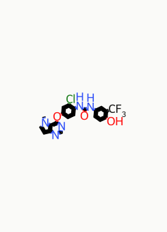 Cn1ccc2ncnc(Oc3ccc(NC(=O)Nc4ccc(O)c(C(F)(F)F)c4)c(Cl)c3)c21